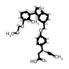 CC#C[C@@H](CC(=O)O)c1ccc(OCc2ccc3scc(-c4cccc(OCOC)c4C)c3c2)cc1